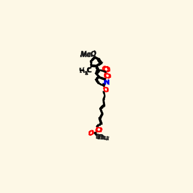 CCC(C)C(=O)OCCCCCCCCCOc1ccc2cc(-c3ccc(OC)cc3C)c(=O)oc2n1